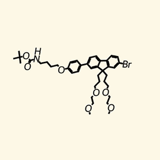 COCCOCCCC1(CCCOCCOC)c2cc(Br)ccc2-c2ccc(-c3ccc(OCCCCNC(=O)OC(C)(C)C)cc3)cc21